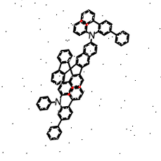 c1ccc(-c2ccc(-c3ccccc3)c(N(c3ccccc3)c3ccc4cc5c(cc4c3)C3(c4ccccc4-c4ccccc43)c3c-5ccc4cc(N(c5ccccc5)c5cc(-c6ccccc6)ccc5-c5ccccc5)ccc34)c2)cc1